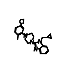 Cc1ccc(Cl)cc1N1CCN(c2nc3ccccc3n2CC2CC2)CC1